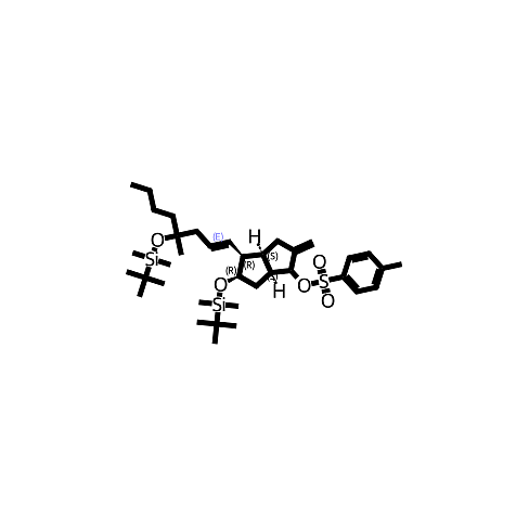 C=C1C[C@@H]2[C@H](/C=C/CC(C)(CCCC)O[Si](C)(C)C(C)(C)C)[C@H](O[Si](C)(C)C(C)(C)C)C[C@@H]2C1OS(=O)(=O)c1ccc(C)cc1